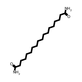 NC(=O)CCCCCCCCCCCCCCCCC(N)=O